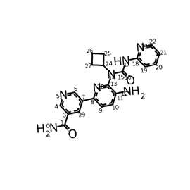 NC(=O)c1cncc(-c2ccc(N)c(N(C(=O)Nc3ccccn3)C3CCC3)n2)c1